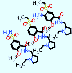 CCN1CCCC1CNC(=O)c1cc(S(=O)(=O)CC)c(N)cc1OC.CCN1CCCC1CNC(=O)c1cc(S(=O)(=O)CC)ccc1OC.CCN1CCCC1CNC(=O)c1cc(S(N)(=O)=O)ccc1OC